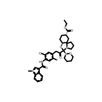 CCOC(=O)[C@H]1CC[C@H](OC(C(=O)Cc2cc(Cl)c(NC(=O)c3cn(C)c4ccccc34)cc2F)(N2CCCC2)N2CCCCO2)CC1